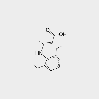 CCc1cccc(CC)c1NC(C)=CC(=O)O